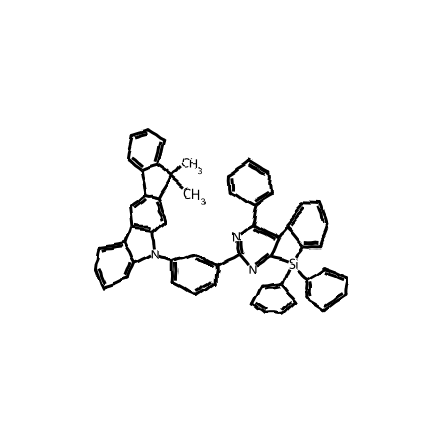 CC1(C)c2ccccc2-c2cc3c4ccccc4n(-c4cccc(-c5nc(-c6ccccc6)c6c(n5)[Si](c5ccccc5)(c5ccccc5)c5ccccc5-6)c4)c3cc21